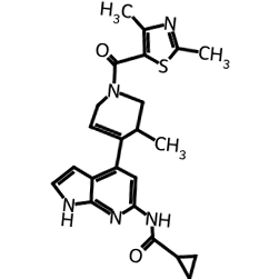 Cc1nc(C)c(C(=O)N2CC=C(c3cc(NC(=O)C4CC4)nc4[nH]ccc34)C(C)C2)s1